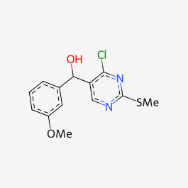 COc1cccc(C(O)c2cnc(SC)nc2Cl)c1